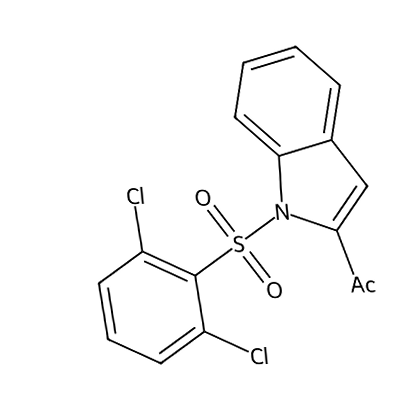 CC(=O)c1cc2ccccc2n1S(=O)(=O)c1c(Cl)cccc1Cl